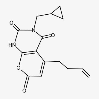 C=CCCc1cc(=O)oc2[nH]c(=O)n(CC3CC3)c(=O)c12